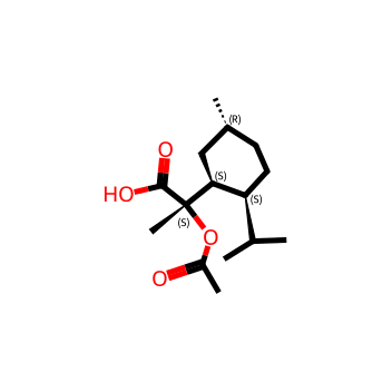 CC(=O)O[C@](C)(C(=O)O)[C@H]1C[C@H](C)CC[C@H]1C(C)C